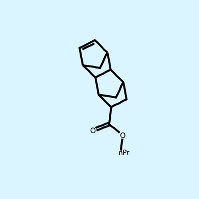 CCCOC(=O)C1CC2CC1C1C3C=CC(C3)C21